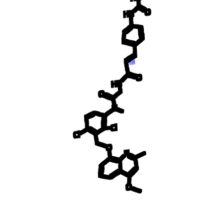 CNC(=O)Nc1ccc(/C=C/C(=O)NCC(=O)N(C)c2ccc(Cl)c(COc3cccc4c(OC)cc(C)nc34)c2Cl)cc1